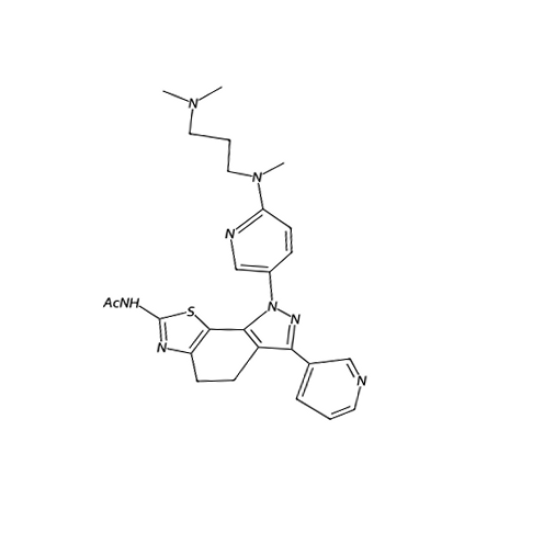 CC(=O)Nc1nc2c(s1)-c1c(c(-c3cccnc3)nn1-c1ccc(N(C)CCCN(C)C)nc1)CC2